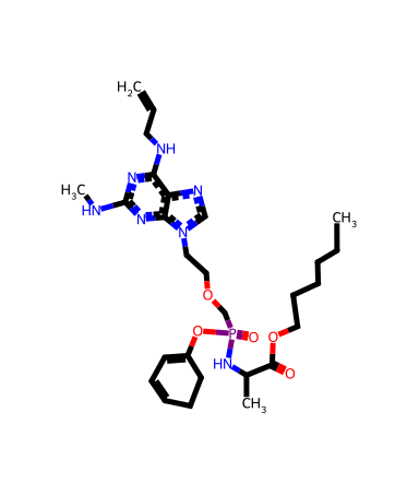 C=CCNc1nc(NC)nc2c1ncn2CCOCP(=O)(NC(C)C(=O)OCCCCCC)OC1=CC=CCC1